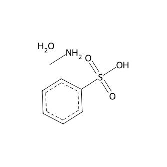 CN.O.O=S(=O)(O)c1ccccc1